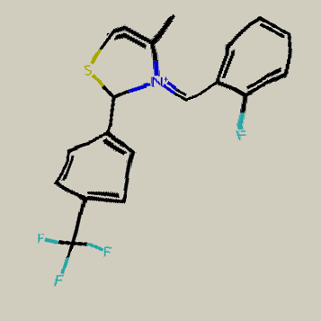 CC1=[C]SC(c2ccc(C(F)(F)F)cc2)[N+]1=Cc1ccccc1F